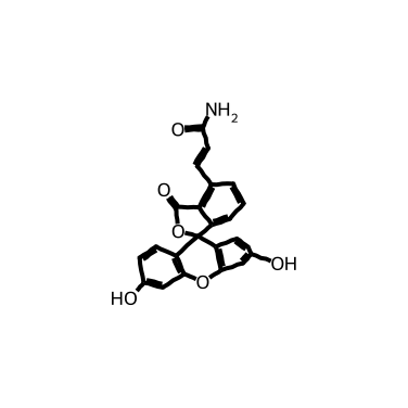 NC(=O)C=Cc1cccc2c1C(=O)OC21c2ccc(O)cc2Oc2cc(O)ccc21